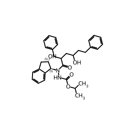 CC(C)OC(=O)NN(C(=O)C(Cc1ccccc1)CC(O)CCc1ccccc1)[C@H]1c2ccccc2C[C@@H]1O